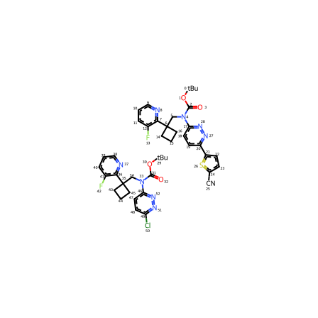 CC(C)(C)OC(=O)N(CC1(c2ncccc2F)CCC1)c1ccc(-c2ccc(C#N)s2)nn1.CC(C)(C)OC(=O)N(CC1(c2ncccc2F)CCC1)c1ccc(Cl)nn1